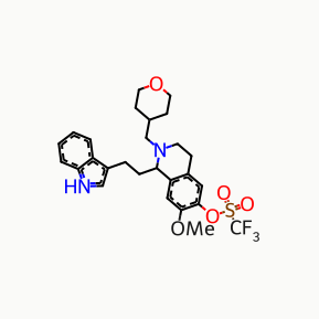 COc1cc2c(cc1OS(=O)(=O)C(F)(F)F)CCN(CC1CCOCC1)C2CCc1c[nH]c2ccccc12